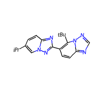 CC(C)c1ccc2nc(-c3ccc4ncnn4c3C(C)(C)C)nn2c1